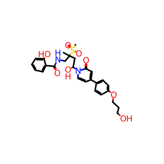 CC(CNC(=O)c1ccccc1O)(CC(O)n1ccc(-c2ccc(OCCCO)cc2)cc1=O)S(C)(=O)=O